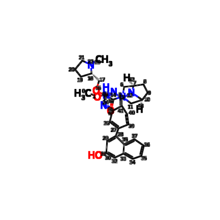 CONC(=O)N1C[C@H]2CC[C@@H](C1)N2c1nc(OC[C@@H]2CCCN2C)nc2cc(-c3cc(O)cc4ccccc34)ccc12